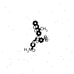 Cc1c(Cc2ccccc2)c(=O)oc2cc(OCC(CN3CCC(C(N)=O)CC3)Oc3ccc([N+](=O)[O-])cc3)ccc12